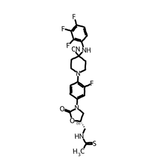 [C-]#[N+]C1(Nc2ccc(F)c(F)c2F)CCN(c2ccc(N3C[C@H](CNC(C)=S)OC3=O)cc2F)CC1